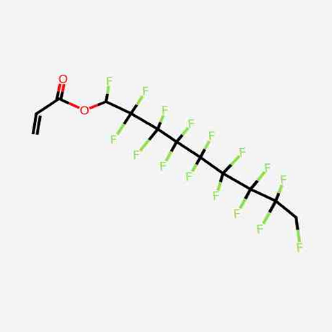 C=CC(=O)OC(F)C(F)(F)C(F)(F)C(F)(F)C(F)(F)C(F)(F)C(F)(F)C(F)(F)CF